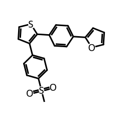 CS(=O)(=O)c1ccc(-c2ccsc2-c2ccc(-c3ccco3)cc2)cc1